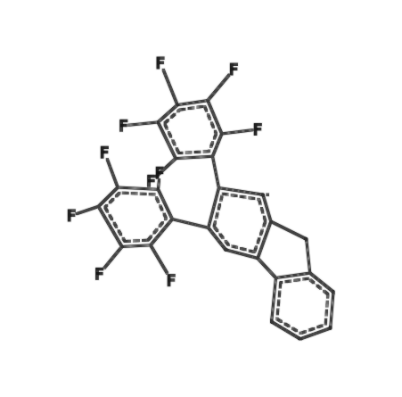 Fc1c(F)c(F)c(-c2[c]c3c(cc2-c2c(F)c(F)c(F)c(F)c2F)-c2ccccc2C3)c(F)c1F